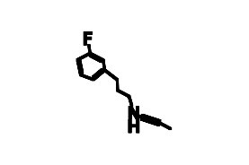 CC#CNCCCc1cccc(F)c1